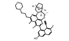 C#Cc1c(F)ccc2cc(O)cc(-c3nc4c5c(nc(CCCN6CCOCC6)c(C)c5c3F)N3C[C@H]5CC[C@H](N5)[C@H]3[C@H](C)O4)c12